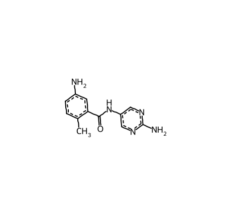 Cc1ccc(N)cc1C(=O)Nc1cnc(N)nc1